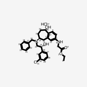 CCOC(=O)CNc1ccc2c(c1)C[C@@H](N(Cc1ccccc1)C[C@H](O)c1cccc(Cl)c1)CCC2.Cl.Cl